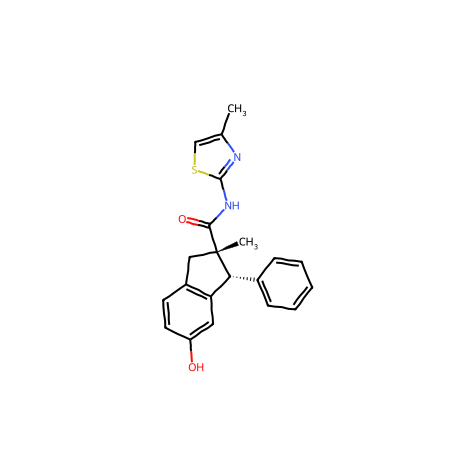 Cc1csc(NC(=O)[C@@]2(C)Cc3ccc(O)cc3[C@H]2c2ccccc2)n1